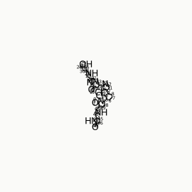 COc1nc(-c2cccc(-c3ccnc(-c4cc(OC)c5nc(CNC6CC(C)(O)C6)cn5c4)c3Cl)c2Cl)ccc1CNCC1CCC(=O)N1